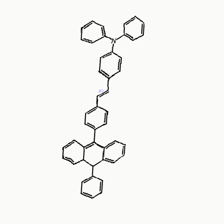 C1=CC2=C(c3ccc(/C=C/c4ccc(N(c5ccccc5)c5ccccc5)cc4)cc3)c3ccccc3C(c3ccccc3)C2C=C1